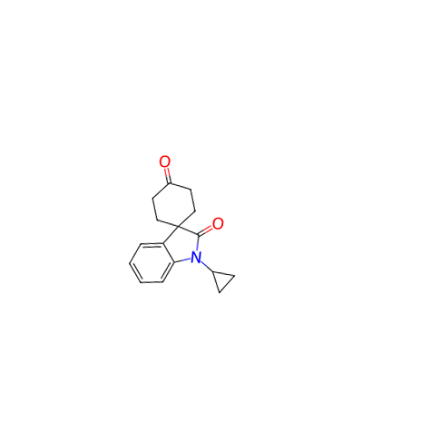 O=C1CCC2(CC1)C(=O)N(C1CC1)c1ccccc12